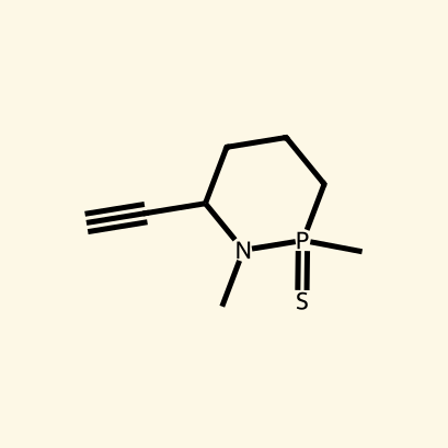 C#CC1CCCP(C)(=S)N1C